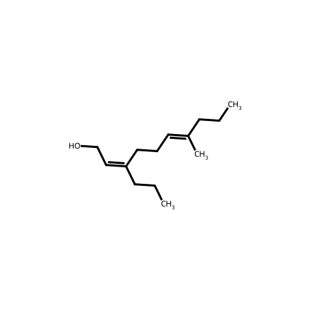 CCC/C(=C/CO)CC/C=C(\C)CCC